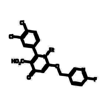 CCn1c(OCc2ccc(F)nc2)cc(=O)c(C(=O)O)c1-c1ccc(Cl)c(Cl)c1